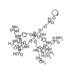 COC(=O)CC[C@H](NC(=O)CCOCC(COCCC(=O)N[C@@H](CCC(=O)O)C(=O)N[C@H](C(=O)N[C@@H](CCCNC(N)=O)C(=O)Nc1ccc(CO)cc1)C(C)C)NC(=O)CCOCCOCCNC(=O)COC1C#CCCCCC1)C(=O)N[C@H](C(=O)N[C@@H](CCCNC(N)=O)C(=O)Nc1ccc(CO)cc1)C(C)C